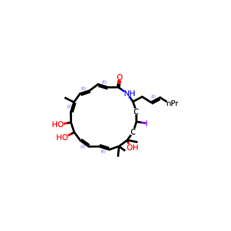 CCC/C=C/CC1CC(I)CC(C)(O)C(C)(C)/C=C/C=C\C(O)C(O)\C=C(C)/C=C/C=C/C(=O)N1